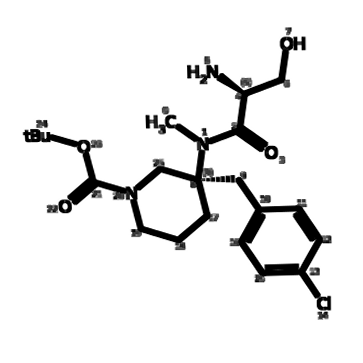 CN(C(=O)[C@@H](N)CO)[C@@]1(Cc2ccc(Cl)cc2)CCCN(C(=O)OC(C)(C)C)C1